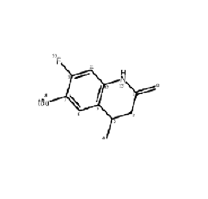 C=C1CC(C)c2cc(C(C)(C)C)c(F)cc2N1